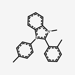 Cc1ccc(-n2c(-c3ccccc3C)[n+](C)c3ccccc32)cc1